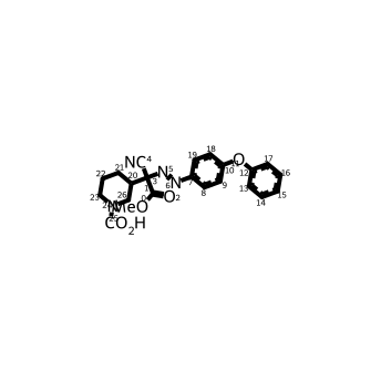 COC(=O)C(C#N)(N=Nc1ccc(Oc2ccccc2)cc1)C1CCCN(C(=O)O)C1